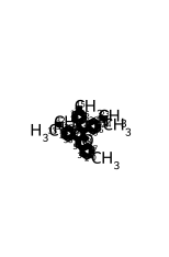 Cc1ccc(C=C(C(=O)C(=Cc2ccc(C)cc2)c2ccc(N(C)C)cc2)c2ccc(N(C)C)cc2)cc1